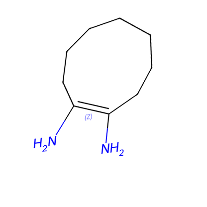 N/C1=C(\N)CCCCCCC1